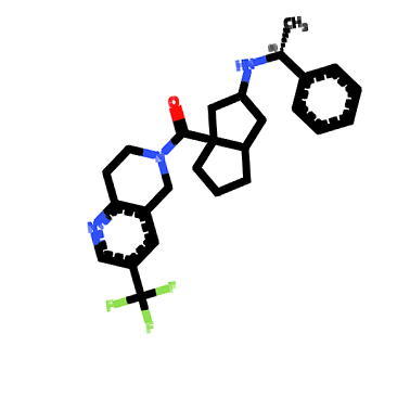 C[C@@H](NC1CC2CCCC2(C(=O)N2CCc3ncc(C(F)(F)F)cc3C2)C1)c1ccccc1